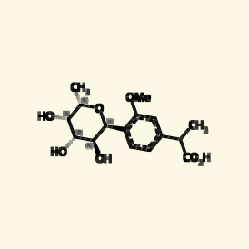 COc1cc(C(C)C(=O)O)ccc1[C@@H]1O[C@@H](C)[C@@H](O)[C@@H](O)[C@@H]1O